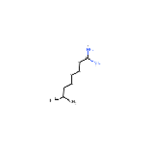 CC(C)CCCCCC(N)N